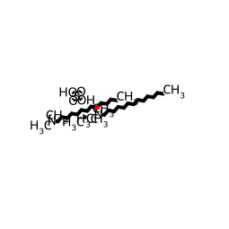 CCC.CCCCCCCCCCCCCCN(C)C.CCCCCCCCCCCCCCN(C)C.O=S(=O)(O)O